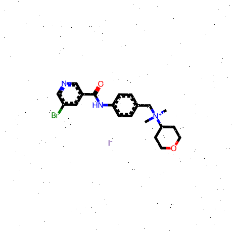 C[N+](C)(Cc1ccc(NC(=O)c2cncc(Br)c2)cc1)C1CCOCC1.[I-]